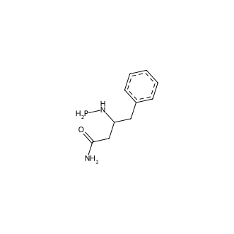 NC(=O)CC(Cc1ccccc1)NP